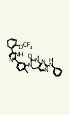 Cc1ccc(-c2ncc(C3=C(OC(F)(F)F)C=CCC3)[nH]2)cc1N1Cc2cnc(Nc3ccccc3)nc2N(C)C1=O